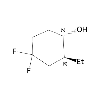 CC[C@H]1CC(F)(F)CC[C@@H]1O